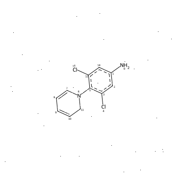 Nc1cc(Cl)c(N2C=CC=CC2)c(Cl)c1